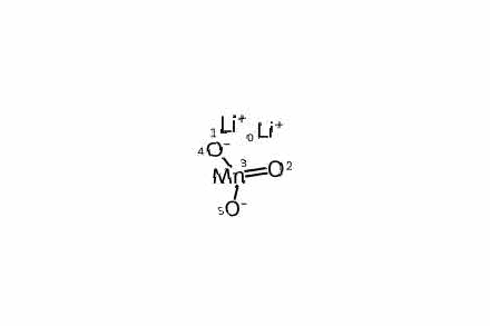 [Li+].[Li+].[O]=[Mn]([O-])[O-]